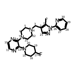 Cc1c(CN2CCN(c3nccnc3N3CCC(F)CC3)CC2)cnn1-c1ccccn1